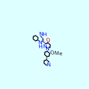 COc1cc(-c2cccnc2)ccc1-n1ccc(=O)c(/C(=C/C=N)Nc2ccccc2)n1